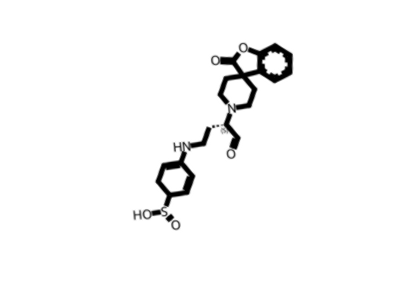 O=C[C@H](CCNC1=CCC(S(=O)O)C=C1)N1CCC2(CC1)C(=O)Oc1ccccc12